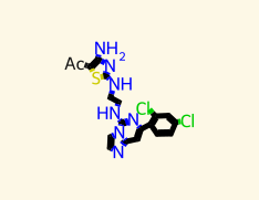 CC(=O)c1sc(NCCNc2nc(-c3ccc(Cl)cc3Cl)cc3nccn23)nc1N